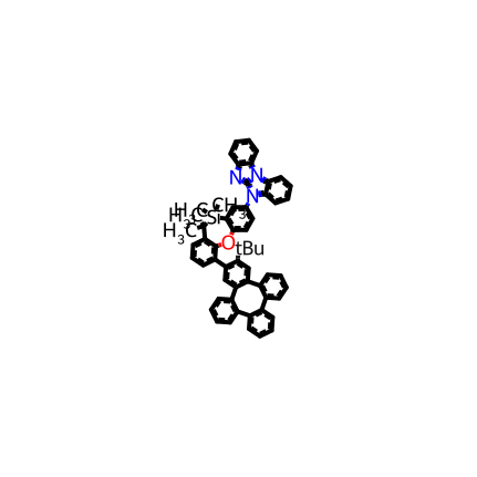 CC(C)(C)c1cc2c(cc1-c1cccc3c1Oc1ccc(-n4c5ccccc5n5c6ccccc6nc45)cc1[Si](C)(C)C3(C)C)-c1ccccc1-c1ccccc1-c1ccccc1-2